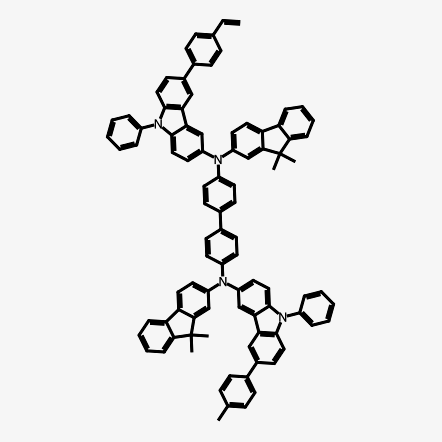 C=Cc1ccc(-c2ccc3c(c2)c2cc(N(c4ccc(-c5ccc(N(c6ccc7c(c6)C(C)(C)c6ccccc6-7)c6ccc7c(c6)c6cc(-c8ccc(C)cc8)ccc6n7-c6ccccc6)cc5)cc4)c4ccc5c(c4)C(C)(C)c4ccccc4-5)ccc2n3-c2ccccc2)cc1